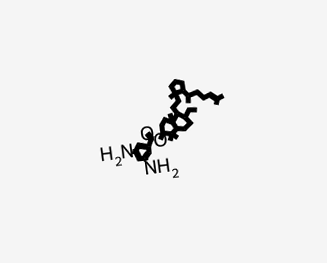 CCC1CCC2C(C)(C)C(OC(=O)c3cc(N)cc(N)c3)CCC2(C)C1CCC1(C)CCCC1C(C)CCC=C(C)C